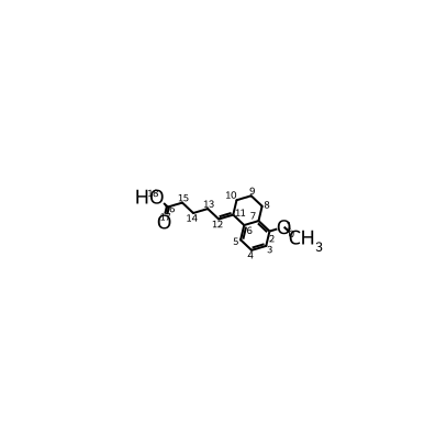 COc1cccc2c1CCCC2=CCCCC(=O)O